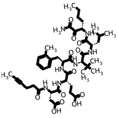 CC#CCCC(=O)N[C@@H](CC(=O)O)C(=O)N[C@@H](CCC(=O)O)C(=O)N[C@@H](Cc1ccccc1C)C(=O)N[C@H](C(=O)N[C@@H](CC(C)C)C(=O)N[C@@H](CCCC)C(=O)C(N)=O)C(C)(C)C